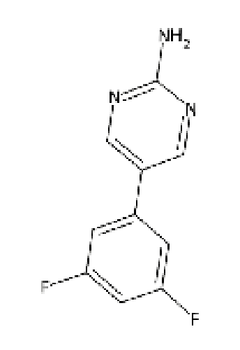 Nc1ncc(-c2cc(F)cc(F)c2)cn1